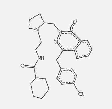 O=C(NCCN1CCCC1Cn1nc(Cc2ccc(Cl)cc2)c2ccccc2c1=O)C1CCCCC1